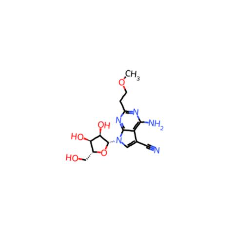 COCCc1nc(N)c2c(C#N)cn([C@@H]3O[C@H](CO)[C@@H](O)[C@H]3O)c2n1